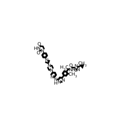 Cc1cc(-c2cc(Nc3ccc(N4CCN(C5CN(c6ccc(N7CCC(=O)NC7=O)cc6)C5)CC4)cn3)ncn2)ccc1[C@@H](C)NC(=O)c1nc(C2(C)CC2)no1